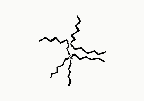 CCCCC[CH2][Sn]([CH2]CCCCC)([CH2]CCCCC)[S][Sn]([CH2]CCCCC)([CH2]CCCCC)[CH2]CCCCC